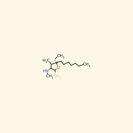 BC1O[C@](CC)(CCCCCCC)C(C)C1NC